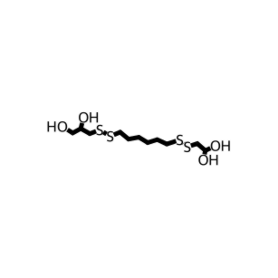 OCC(O)CSSCCCCCCSSCC(O)O